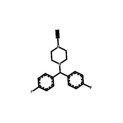 C#CN1CCN(C(c2ccc(F)cc2)c2ccc(F)cc2)CC1